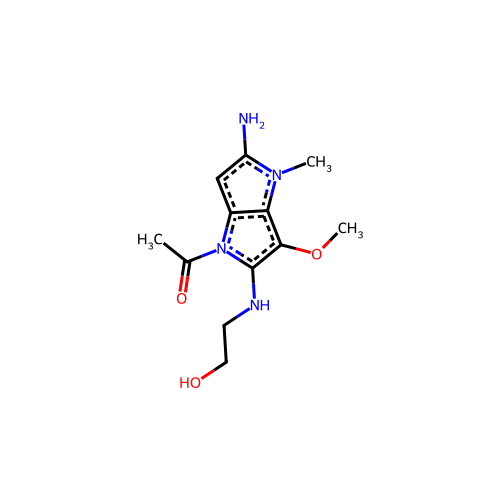 COc1c(NCCO)n(C(C)=O)c2cc(N)n(C)c12